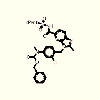 CCCCCS(=O)(=O)NC(=O)c1ccc2nc(C)n(Cc3ccc(N(C)C(=O)OCc4ccccc4)cc3Cl)c2n1